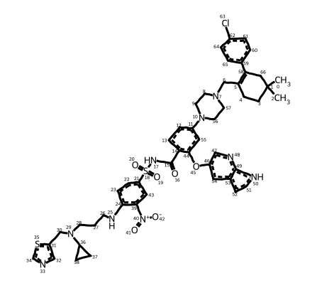 CC1(C)CCC(CN2CCN(c3ccc(C(=O)NS(=O)(=O)c4ccc(NCCCN(Cc5cncs5)C5CC5)c([N+](=O)[O-])c4)c(Oc4cnc5[nH]ccc5c4)c3)CC2)=C(c2ccc(Cl)cc2)C1